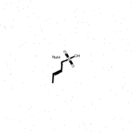 C/C=C/CS(=O)(=O)O.[NaH]